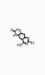 CCc1nc(O)c2cc3c(cc2n1)OCC(=O)N3C